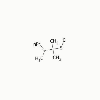 CCCC(C)C(C)(C)SCl